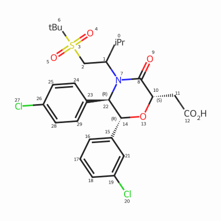 CC(C)C(CS(=O)(=O)C(C)(C)C)N1C(=O)[C@H](CC(=O)O)O[C@H](c2cccc(Cl)c2)[C@H]1c1ccc(Cl)cc1